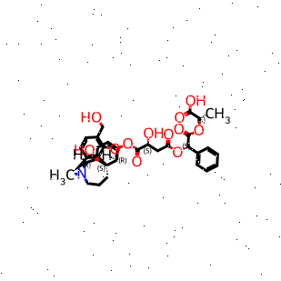 C[C@H](OC(=O)[C@@H](OC(=O)C[C@H](O)C(=O)OC1=CC[C@@]2(O)[C@H]3Cc4ccc(CO)c5c4[C@@]2(CCCN3C)[C@H]1O5)c1ccccc1)C(=O)O